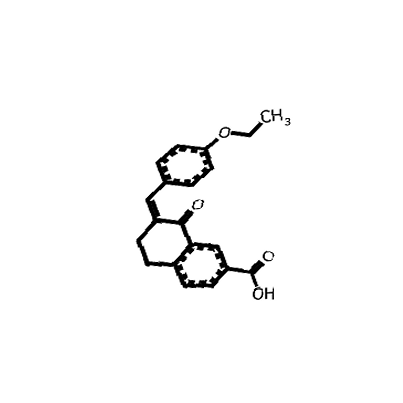 CCOc1ccc(C=C2CCc3ccc(C(=O)O)cc3C2=O)cc1